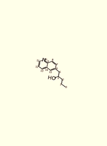 CCCC(O)Cc1ccc2ncccc2c1